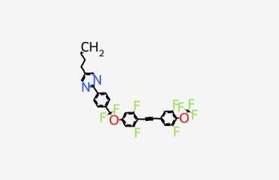 C=CCCc1cnc(-c2ccc(C(F)(F)Oc3cc(F)c(C#Cc4cc(F)c(OC(F)(F)F)c(F)c4)c(F)c3)cc2)nc1